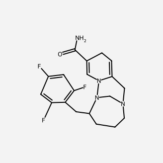 NC(=O)C1=CN2C(=CC1)CN1CCCC(Cc3c(F)cc(F)cc3F)N2C1